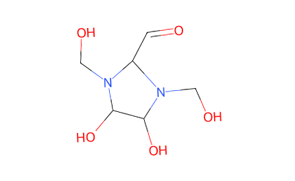 O=CC1N(CO)C(O)C(O)N1CO